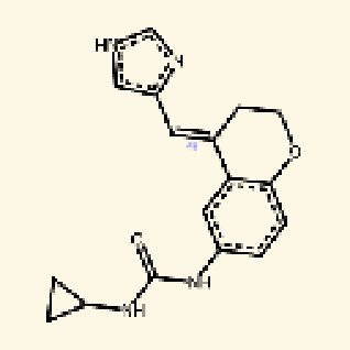 O=C(Nc1ccc2c(c1)/C(=C/c1c[nH]cn1)CCO2)NC1CC1